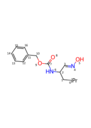 CC(C)CC(C=NO)NC(=O)OCc1ccccc1